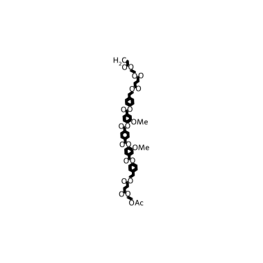 C=CC(=O)OCCOC(=O)CCC(=O)OCCc1ccc(OC(=O)c2ccc(OC(=O)C3CCC(C(=O)Oc4ccc(C(=O)Oc5ccc(CCOC(=O)CCC(=O)OCCOC(C)=O)cc5)cc4OC)CC3)c(OC)c2)cc1